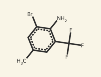 Cc1cc(Br)c(N)c(C(F)(F)F)c1